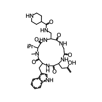 C=C(O)CC1NC(=O)CNC(=O)C(CNC(=O)C2CCNCC2)NC(=O)C(C(C)C)N(C)C(=O)C(Cc2c[nH]c3ccccc23)NC1=O